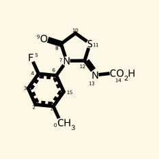 Cc1ccc(F)c(N2C(=O)CSC2=NC(=O)O)c1